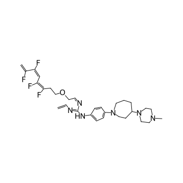 C=C/N=C(\N=C/COCC/C(F)=C(F)\C=C(\F)C(=C)F)Nc1ccc(N2CCCC(N3CCN(C)CC3)CC2)cc1